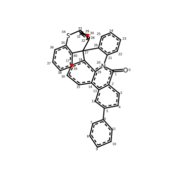 O=c1c2ccc(-c3ccccc3)cc2c2cccc3c2n1-c1ccccc1C31c2ccccc2Sc2ccccc21